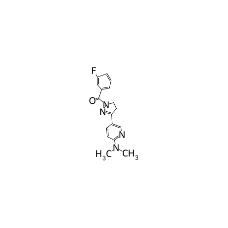 CN(C)c1ccc(C2=NN(C(=O)c3cccc(F)c3)CC2)cn1